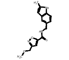 COCc1cc(C(=O)NCc2ccc3[nH]c(C)cc3c2)on1